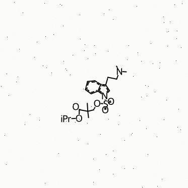 CC(C)OC(=O)C(C)(C)COS(=O)(=O)n1cc(CCN(C)C)c2ccccc21